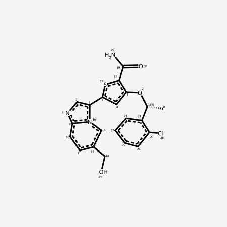 C[C@@H](Oc1cc(-c2cnc3ccc(CO)cn23)sc1C(N)=O)c1ccccc1Cl